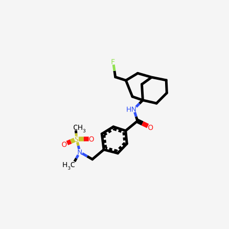 CN(Cc1ccc(C(=O)NC23CCCC(CC(CF)C2)C3)cc1)S(C)(=O)=O